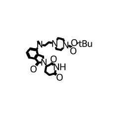 CN(CCN1CCN(C(=O)OC(C)(C)C)CC1)c1cccc2c1CN(C1CCC(=O)NC1=O)C2=O